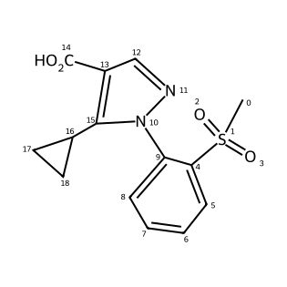 CS(=O)(=O)c1ccccc1-n1ncc(C(=O)O)c1C1CC1